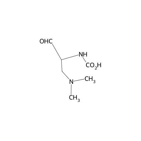 CN(C)CC(C=O)NC(=O)O